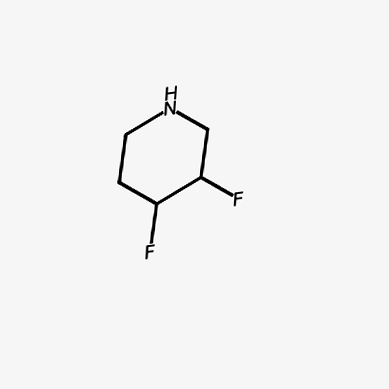 FC1CCNCC1F